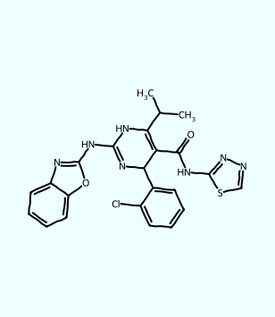 CC(C)C1=C(C(=O)Nc2nncs2)C(c2ccccc2Cl)N=C(Nc2nc3ccccc3o2)N1